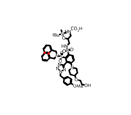 COc1ccc(Cn2nnc(-c3c(N4CCC(OCCO)CC4)ccc(S(=O)(=O)NCC(CNC(=O)O)O[Si](C)(C)C(C)(C)C)c3S(=O)(=O)N(Cc3ccccc3)Cc3ccccc3)n2)cc1